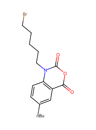 CCCCc1ccc2c(c1)c(=O)oc(=O)n2CCCCCBr